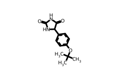 CC(C)(C)Oc1ccc(C2NC(=O)NC2=O)cc1